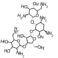 NCC1OC(O[C@H]2[C@@H](O)[C@H](O[C@@H]3[C@H](O)[C@H](N)CC(N)[C@H]3O[C@H]3OC(CN)[C@@H](O)[C@H](O)[C@@H]3N)O[C@@H]2CO)C(N)C(O)C1O